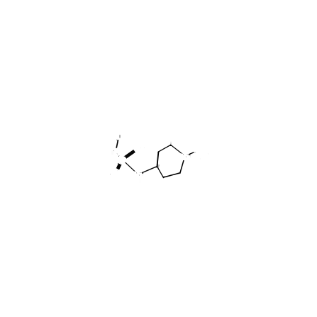 CC(C)NS(=O)(=O)NC1CCN(C)CC1